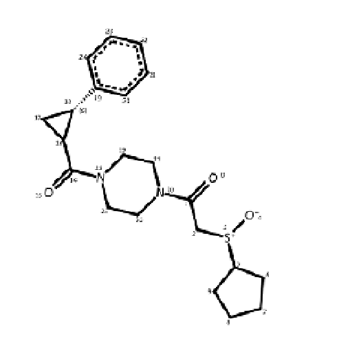 O=C(C[S+]([O-])C1CCCC1)N1CCN(C(=O)C2C[C@@H]2c2ccccc2)CC1